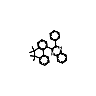 CC1(C)c2ccccc2-c2c(-c3nc4ccccc4nc3-c3ccccc3)cccc2C1(C)C